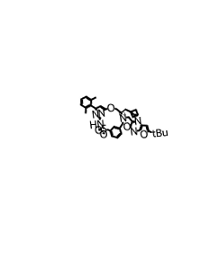 Cc1cccc(C)c1-c1cc2nc(n1)NS(=O)(=O)c1cccc(c1)C(=O)N(Cc1cnc3oc(C(C)(C)C)cc3n1)[C@H](CC13CC(C1)C3)CO2